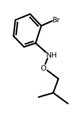 CC(C)CONc1ccccc1Br